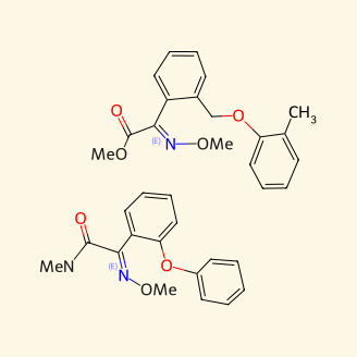 CNC(=O)/C(=N/OC)c1ccccc1Oc1ccccc1.CO/N=C(/C(=O)OC)c1ccccc1COc1ccccc1C